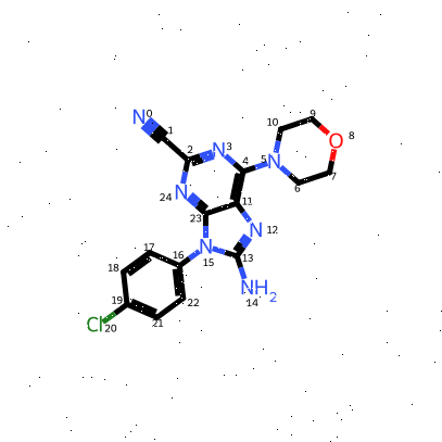 N#Cc1nc(N2CCOCC2)c2nc(N)n(-c3ccc(Cl)cc3)c2n1